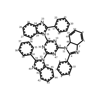 C1=CC2N=C(c3ccccc3)N(c3nc(-n4c(-c5ccccc5)nc5ccccc54)nc(-n4c(-c5ccccc5)nc5ccccc54)n3)C2C=C1